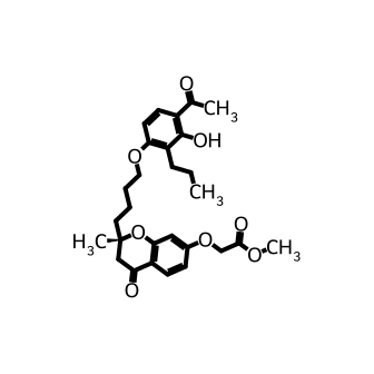 CCCc1c(OCCCC[C@@]2(C)CC(=O)c3ccc(OCC(=O)OC)cc3O2)ccc(C(C)=O)c1O